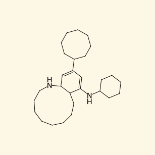 C1=C(C2CCCCCCC2)C=C(NC2CCCCC2)C2CCCCCCCCNC12